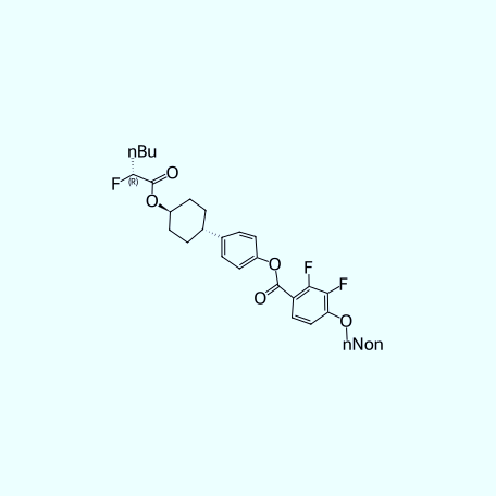 CCCCCCCCCOc1ccc(C(=O)Oc2ccc([C@H]3CC[C@H](OC(=O)[C@H](F)CCCC)CC3)cc2)c(F)c1F